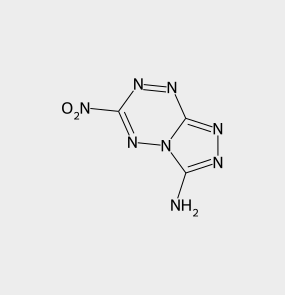 Nc1nnc2nnc([N+](=O)[O-])nn12